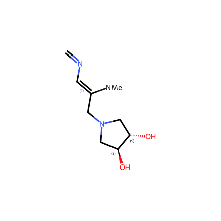 C=N/C=C(/CN1C[C@H](O)[C@@H](O)C1)NC